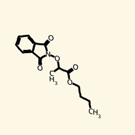 CCCCOC(=O)C(C)ON1C(=O)c2ccccc2C1=O